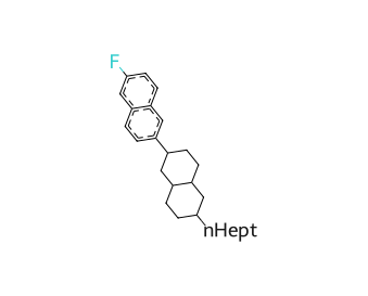 CCCCCCCC1CCC2CC(c3ccc4cc(F)ccc4c3)CCC2C1